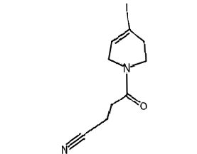 N#CCCC(=O)N1CC=C(I)CC1